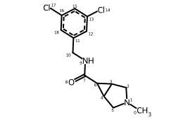 CN1CC2C(C1)C2C(=O)NCc1cc(Cl)cc(Cl)c1